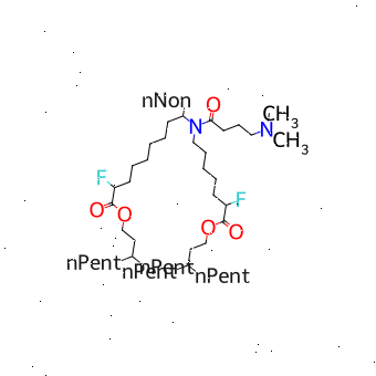 CCCCCCCCCC(CCCCCCC(F)C(=O)OCCC(CCCCC)CCCCC)N(CCCCCC(F)C(=O)OCCC(CCCCC)CCCCC)C(=O)CCCN(C)C